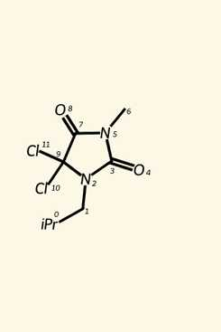 CC(C)CN1C(=O)N(C)C(=O)C1(Cl)Cl